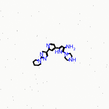 Nc1cc(-c2ccnc(-c3cnc(N4CCCCC4)nc3)c2)[nH]c1N1CCNCC1